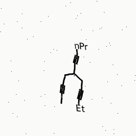 CC#CC[C](C#CCCC)CC#CCC